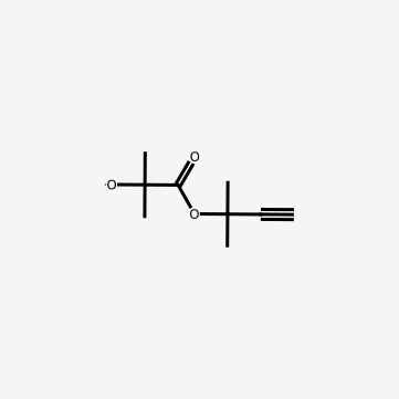 C#CC(C)(C)OC(=O)C(C)(C)[O]